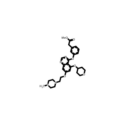 COC(=O)Cc1cccc(Oc2ncnc3cc(OCCN4CCN(C)CC4)cc(OC4CCOCC4)c23)c1